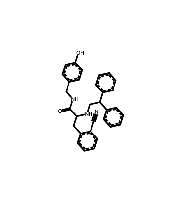 N#Cc1ccccc1CC(NCC(c1ccccc1)c1ccccc1)C(=O)NCc1ccc(O)cc1